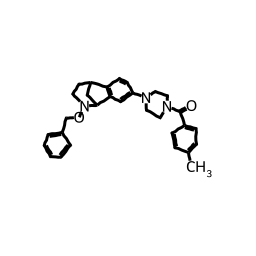 Cc1ccc(C(=O)N2CCN(c3ccc4c(c3)C3CC4CCN3OCc3ccccc3)CC2)cc1